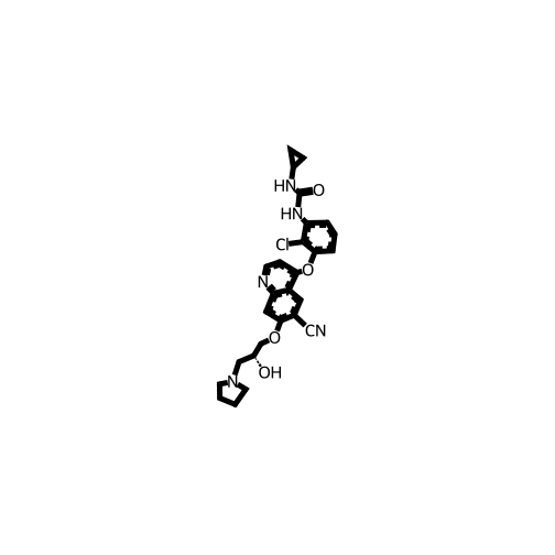 N#Cc1cc2c(Oc3cccc(NC(=O)NC4CC4)c3Cl)ccnc2cc1OC[C@H](O)CN1CCCC1